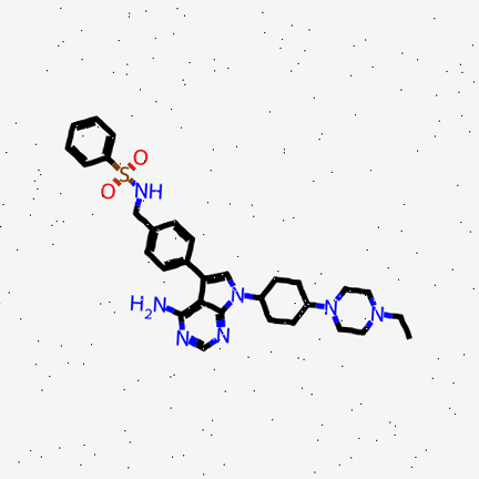 CCN1CCN(C2CCC(n3cc(-c4ccc(CNS(=O)(=O)c5ccccc5)cc4)c4c(N)ncnc43)CC2)CC1